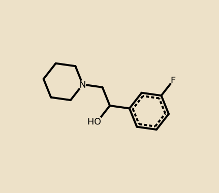 OC(CN1CCCCC1)c1cccc(F)c1